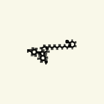 O=C1CCCCN1CCCCCCCCN1CCc2c(c3cc(F)ccc3n2-c2ccc(F)cc2)C1